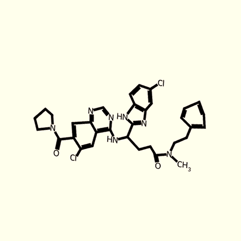 CN(CCc1ccccc1)C(=O)CCC(Nc1ncnc2cc(C(=O)N3CCCC3)c(Cl)cc12)c1nc2cc(Cl)ccc2[nH]1